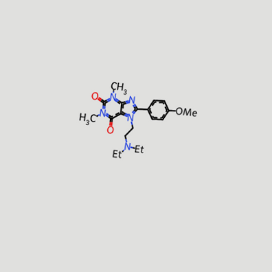 CCN(CC)CCn1c(-c2ccc(OC)cc2)nc2c1c(=O)n(C)c(=O)n2C